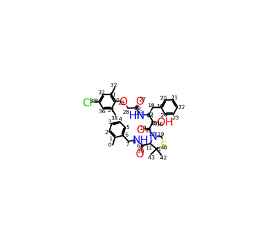 Cc1ccccc1CNC(=O)C1N(C(=O)[C@@H](O)[C@H](Cc2ccccc2)NC(=O)COc2c(C)cc(Cl)cc2C)CSC1(C)C